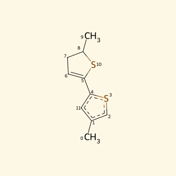 Cc1csc(C2=CCC(C)S2)c1